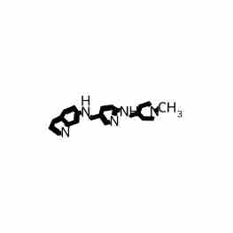 CN1CCC(CNc2ccc(CNc3ccc4cccnc4c3)cn2)CC1